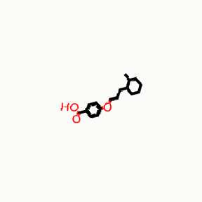 CC1CCCCC1CCCOc1ccc(C(=O)O)cc1